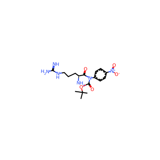 CC(C)(C)OC(=O)N(C(=O)[C@@H](N)CCCNC(=N)N)c1ccc([N+](=O)[O-])cc1